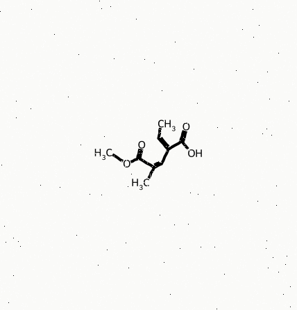 CC=C(C=C(C)C(=O)OC)C(=O)O